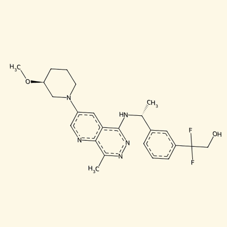 CO[C@H]1CCCN(c2cnc3c(C)nnc(N[C@H](C)c4cccc(C(F)(F)CO)c4)c3c2)C1